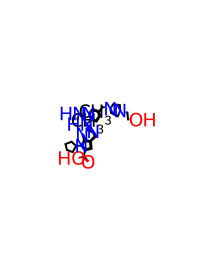 CNC.O=C(O)c1cc2cnc(Nc3ccc(CN4CCN(CCO)CC4)cn3)nc2n1C1CCCC1